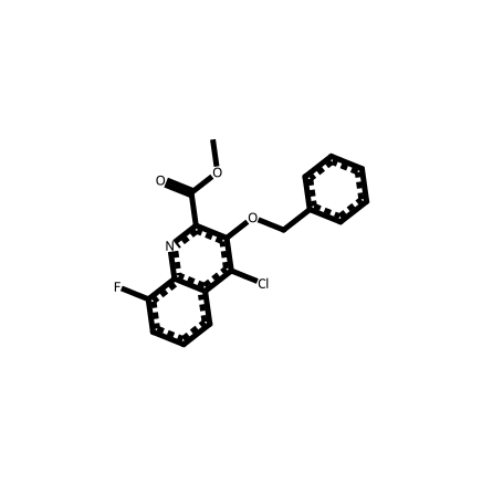 COC(=O)c1nc2c(F)cccc2c(Cl)c1OCc1ccccc1